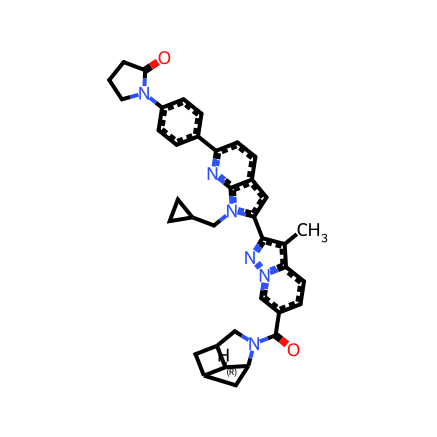 Cc1c(-c2cc3ccc(-c4ccc(N5CCCC5=O)cc4)nc3n2CC2CC2)nn2cc(C(=O)N3CC4CC5CC3[C@H]54)ccc12